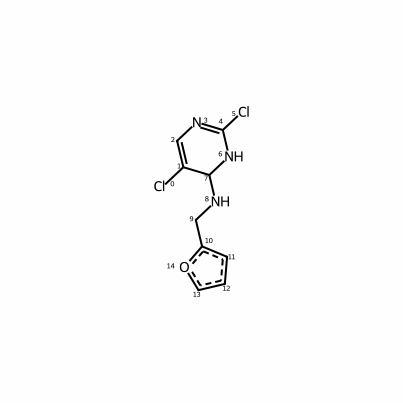 ClC1=CN=C(Cl)NC1NCc1ccco1